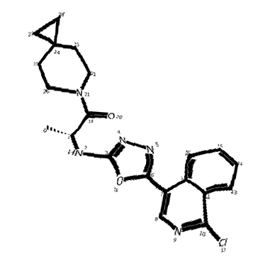 C[C@@H](Nc1nnc(-c2cnc(Cl)c3ccccc23)o1)C(=O)N1CCC2(CC1)CC2